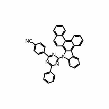 N#Cc1ccc(-c2nc(-c3ccccc3)nc(-n3c4ccccc4c4c5ccccc5c5c6ccccc6ccc5c43)n2)cc1